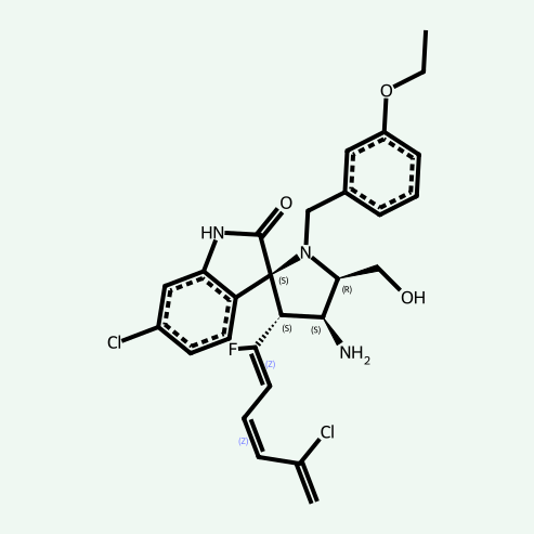 C=C(Cl)/C=C\C=C(/F)[C@H]1[C@H](N)[C@H](CO)N(Cc2cccc(OCC)c2)[C@@]12C(=O)Nc1cc(Cl)ccc12